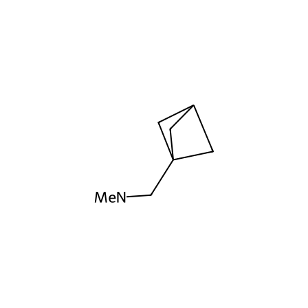 CNCC12CC(C1)C2